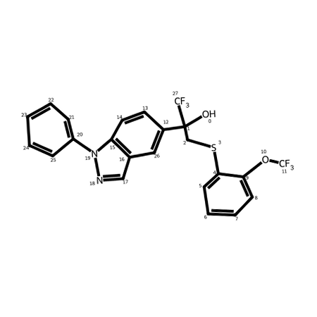 OC(CSc1ccccc1OC(F)(F)F)(c1ccc2c(cnn2-c2ccccc2)c1)C(F)(F)F